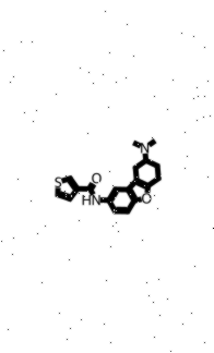 CN(C)C1CCc2oc3ccc(NC(=O)c4ccsc4)cc3c2C1